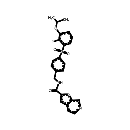 CC(C)Oc1cccc(S(=O)(=O)c2ccc(CNC(=O)c3cc4ccncc4s3)cc2)c1F